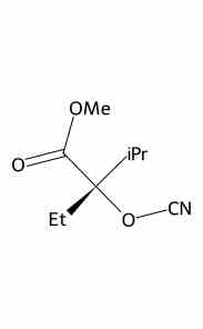 CC[C@@](OC#N)(C(=O)OC)C(C)C